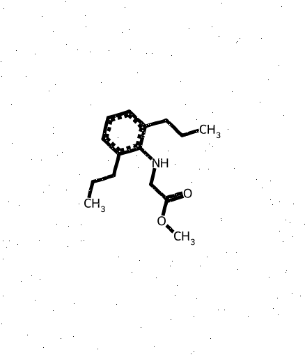 CCCc1cccc(CCC)c1NCC(=O)OC